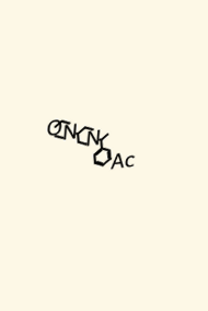 CC(=O)c1cccc(C(C)N2CCC(N3CCOCC3)CC2)c1